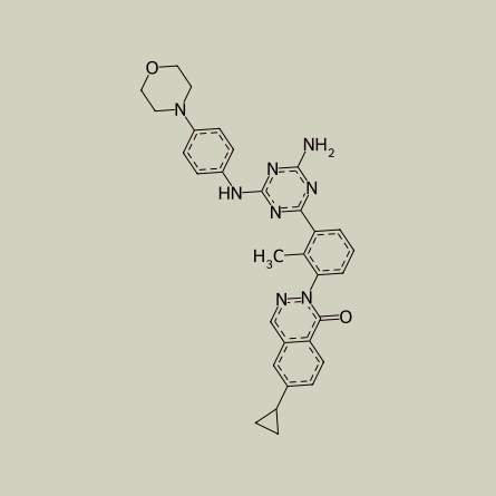 Cc1c(-c2nc(N)nc(Nc3ccc(N4CCOCC4)cc3)n2)cccc1-n1ncc2cc(C3CC3)ccc2c1=O